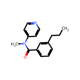 CCCc1cccc(C(=O)N(C)c2ccncc2)c1